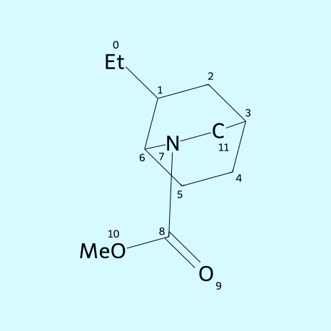 CCC1CC2CCC1N(C(=O)OC)C2